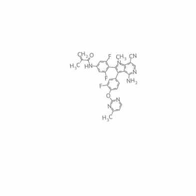 C=C(C)C(=O)Nc1cc(F)c(-c2c(-c3ccc(Oc4nccc(C)n4)c(F)c3)c3c(N)ncc(C#N)c3n2C)c(F)c1